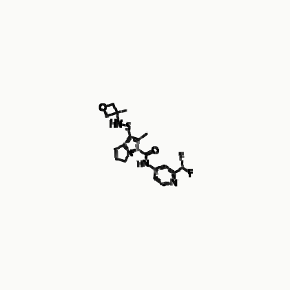 Cc1c(SNC2(C)COC2)c2n(c1C(=O)Nc1ccnc(C(F)F)c1)CC=C2